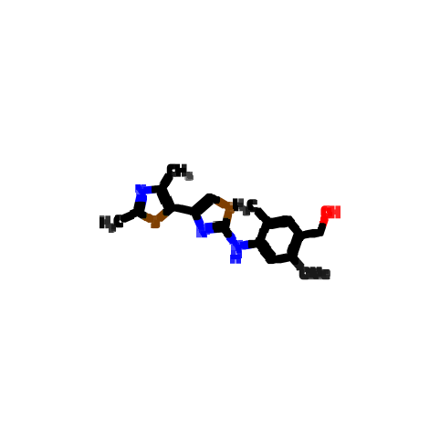 COc1cc(Nc2nc(-c3sc(C)nc3C)cs2)c(C)cc1CO